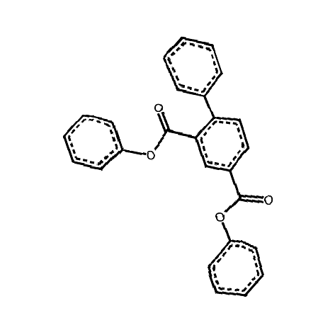 O=C(Oc1ccccc1)c1ccc(-c2ccccc2)c(C(=O)Oc2ccccc2)c1